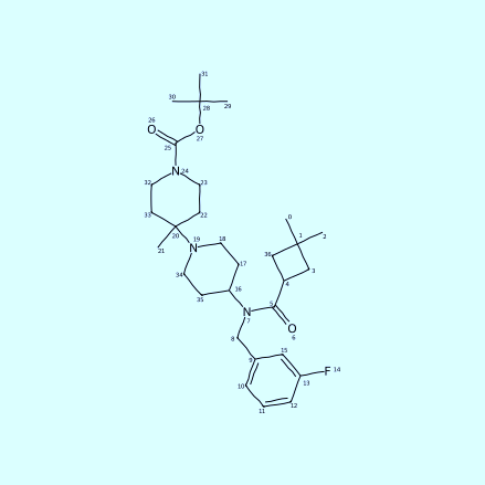 CC1(C)CC(C(=O)N(Cc2cccc(F)c2)C2CCN(C3(C)CCN(C(=O)OC(C)(C)C)CC3)CC2)C1